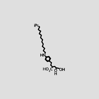 CC(C)CCCCCCCCCCCCCNc1ccc(CCC(CC(O)CO)C(=O)O)cc1